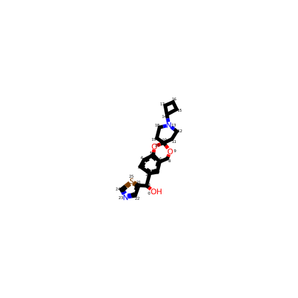 OC(c1ccc2c(c1)COC1(CCN(C3CCC3)CC1)O2)c1cncs1